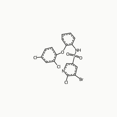 O=S(=O)(Nc1ccccc1Oc1ccc(Cl)cc1Cl)c1cnc(Cl)c(Br)c1